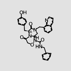 O=C1[C@H](Cc2ccc(O)cc2)N2C(=O)CON(C(=O)NCc3ccccc3)[C@H]2CN1Cc1cccc2cccnc12